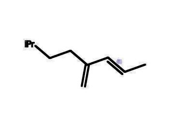 C=C(/C=C/C)CCC(C)C